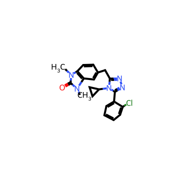 Cn1c(=O)n(C)c2cc(Cc3nnc(-c4ccccc4Cl)n3C3CC3)ccc21